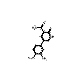 COc1ccc(-c2c[nH]c(=O)c(C(N)=O)c2)cc1N